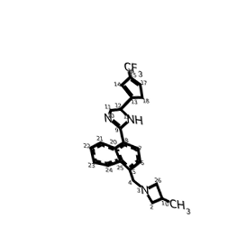 CC1CN(Cc2ccc(C3=NCC(C4=CC(C(F)(F)F)=CC4)N3)c3ccccc23)C1